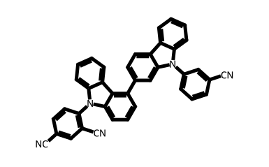 N#Cc1cccc(-n2c3ccccc3c3ccc(-c4cccc5c4c4ccccc4n5-c4ccc(C#N)cc4C#N)cc32)c1